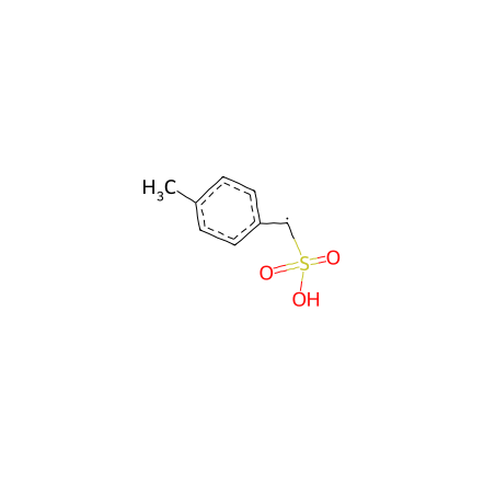 Cc1ccc([CH]S(=O)(=O)O)cc1